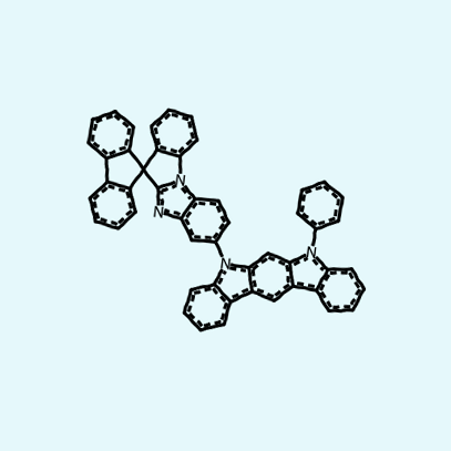 c1ccc(-n2c3ccccc3c3cc4c5ccccc5n(-c5ccc6c(c5)nc5n6-c6ccccc6C56c5ccccc5-c5ccccc56)c4cc32)cc1